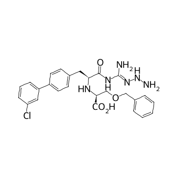 NN/N=C(\N)NC(=O)[C@H](Cc1ccc(-c2cccc(Cl)c2)cc1)N[C@@H](COCc1ccccc1)C(=O)O